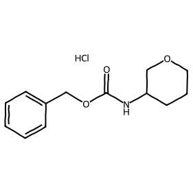 Cl.O=C(NC1CCCOC1)OCc1ccccc1